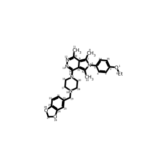 CCOc1ccc(-n2c(C)c3c(C)nnc(N4CCN(Cc5ccc6c(c5)OCO6)CC4)c3c2C)cc1